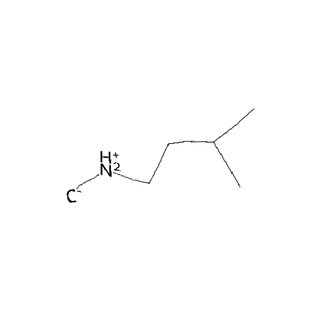 [CH2-][NH2+]CCC(C)C